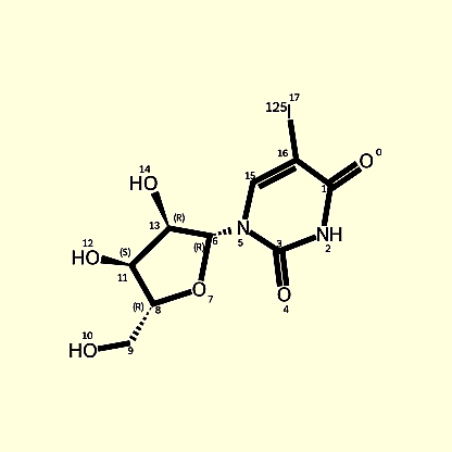 O=c1[nH]c(=O)n([C@@H]2O[C@H](CO)[C@@H](O)[C@H]2O)cc1[125I]